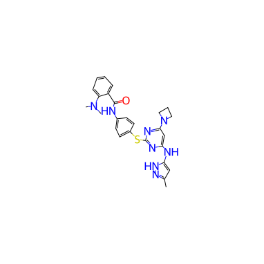 Cc1cc(Nc2cc(N3CCC3)nc(Sc3ccc(NC(=O)c4ccccc4N(C)C)cc3)n2)[nH]n1